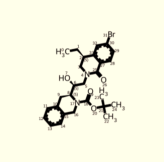 CC[C@@H]1CN(C[C@H](O)[C@@H]2Cc3ccccc3CN2C(=O)OC(C)(C)C)C(=O)c2ccc(Br)cc21